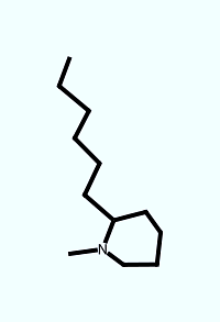 CCCCCCC1CCCCN1C